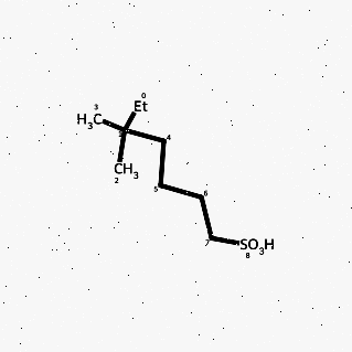 CCC(C)(C)CCCCS(=O)(=O)O